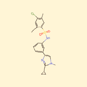 Cc1cc(S(=O)(=O)Nc2cccc(-c3cn(C)c(C4CC4)n3)c2)c(C)cc1Cl